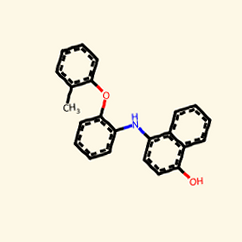 Cc1ccccc1Oc1ccccc1Nc1ccc(O)c2ccccc12